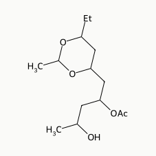 CCC1CC(CC(CC(C)O)OC(C)=O)OC(C)O1